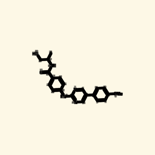 COc1ccc(-c2cnc(Nc3ccc(C(=O)NC(C)CO)cc3)nc2)cc1